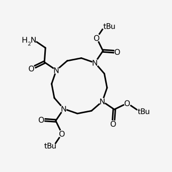 CC(C)(C)OC(=O)N1CCN(C(=O)CN)CCN(C(=O)OC(C)(C)C)CCN(C(=O)OC(C)(C)C)CC1